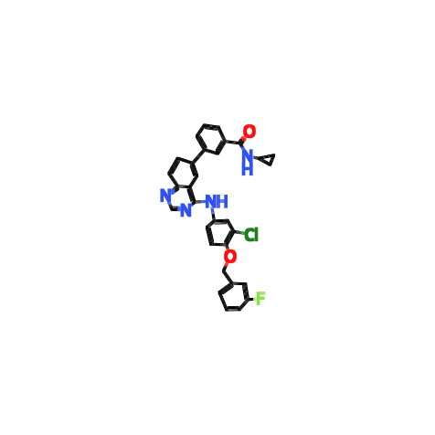 O=C(NC1CC1)c1cccc(-c2ccc3ncnc(Nc4ccc(OCc5cccc(F)c5)c(Cl)c4)c3c2)c1